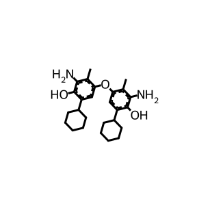 Cc1c(Oc2cc(C3CCCCC3)c(O)c(N)c2C)cc(C2CCCCC2)c(O)c1N